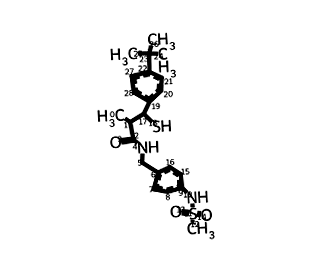 CC(C(=O)NCc1ccc(NS(C)(=O)=O)cc1)C(S)c1ccc(C(C)(C)C)cc1